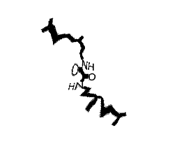 CC(C)=CCC/C(C)=C\CNC(=O)C(=O)NC/C=C(/C)CCC=C(C)C